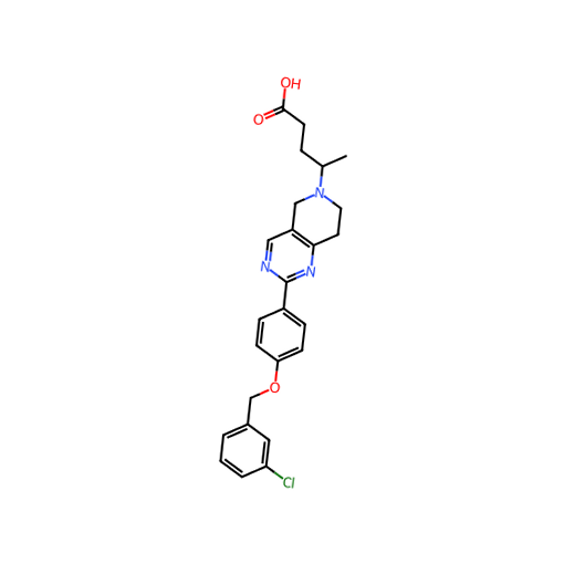 CC(CCC(=O)O)N1CCc2nc(-c3ccc(OCc4cccc(Cl)c4)cc3)ncc2C1